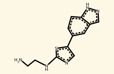 NCCNc1ncc(-c2ccc3[nH]ncc3c2)s1